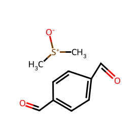 C[S+](C)[O-].O=Cc1ccc(C=O)cc1